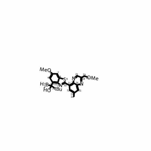 BC(O)(c1cc(OC)cc2sc(-c3cc(C)cc4nc(COC)cnc34)nc12)C(C)(C)C